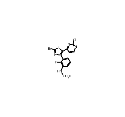 O=C(O)Nc1cccc(-c2nc(Br)sc2-c2ccnc(Cl)n2)c1F